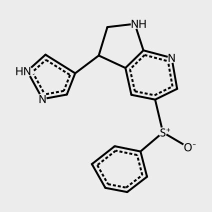 [O-][S+](c1ccccc1)c1cnc2c(c1)C(c1cn[nH]c1)CN2